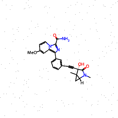 COc1ccn2c(C(N)=O)nc(-c3cccc(C#C[C@@]4(O)C(=O)N(C)[C@@H]5CC54C)c3)c2c1